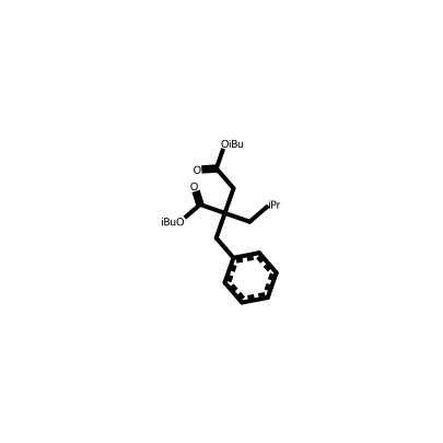 CC(C)COC(=O)CC(Cc1ccccc1)(CC(C)C)C(=O)OCC(C)C